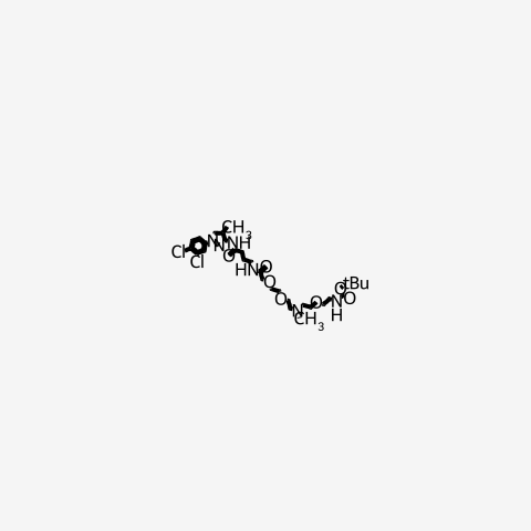 CC1CN(c2ccc(Cl)c(Cl)c2)N=C1NC(=O)CCCNC(=O)COCCOCCN(C)CCOCCNC(=O)OC(C)(C)C